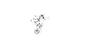 Nc1cc(-n2cc(C(=O)O)c(=O)c3cc(Cl)c(N4CCC[C@@H]4COc4ncccc4Cl)cc32)cnn1